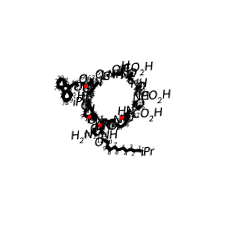 CC(C)CCCCCCC/C=C\CC(=O)N[C@@H](CC(N)=O)C(=O)NC1C(=O)N2CCCC[C@@H]2C(=O)N[C@@H](C(C)C(=O)O)C(=O)N[C@@H](CC(=O)O)C(=O)NCC(=O)NC(CC(=O)O)C(O)NCC(=O)N[C@H](C(C)NC(=O)OCC2c3ccccc3-c3ccccc32)C(=O)N[C@@H](C(C)C)C(=O)N2CCC[C@H]2C(=O)N[C@@H]1C